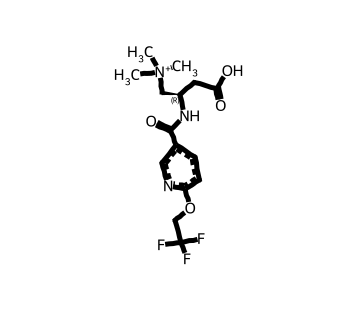 C[N+](C)(C)C[C@@H](CC(=O)O)NC(=O)c1ccc(OCC(F)(F)F)nc1